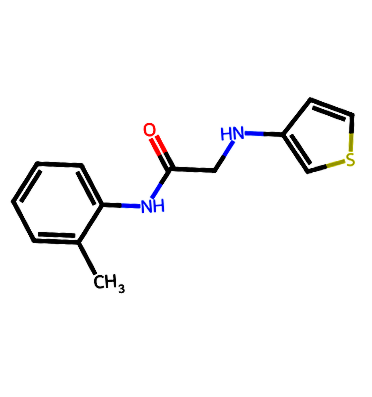 Cc1ccccc1NC(=O)CNc1ccsc1